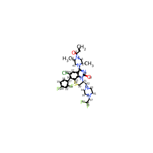 C=CC(=O)N1C[C@H](C)N(c2nc(=O)n3c4c(c(-c5ccc(F)cc5F)c(Cl)cc24)SC[C@@H]3CN2CCN(CC(F)F)CC2)C[C@H]1C